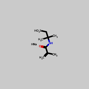 C=C(C)C(=O)NC(C)(C)CS(=O)(=O)O.[NaH]